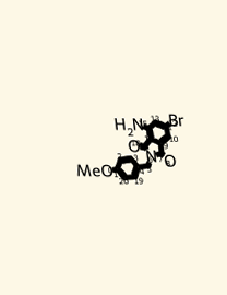 COc1ccc(CN2C(=O)c3cc(Br)cc(N)c3C2=O)cc1